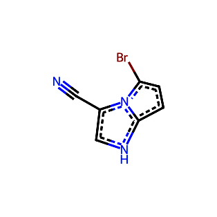 N#Cc1c[nH]c2ccc(Br)n12